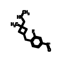 CNCC1(C)CC(Cc2ccc([S+]=O)cc2F)C1